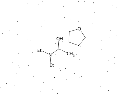 C1CCOC1.CCN(CC)C(C)O